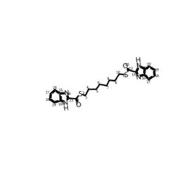 O=C(SCCCCCCCCSC(=O)c1nc2ccccc2[nH]1)c1nc2ccccc2[nH]1